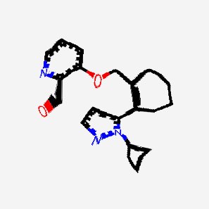 O=Cc1ncccc1OCC1=C(c2ccnn2C2CC2)CCCC1